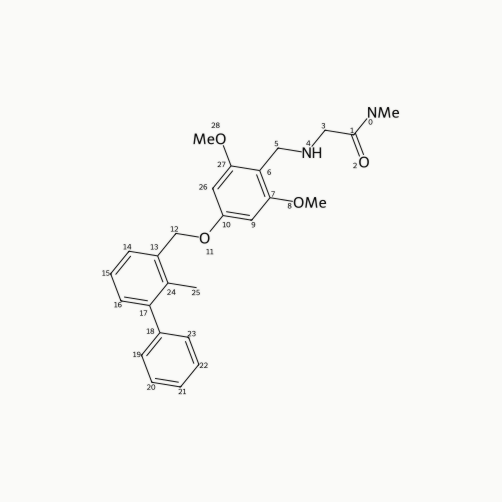 CNC(=O)CNCc1c(OC)cc(OCc2cccc(-c3ccccc3)c2C)cc1OC